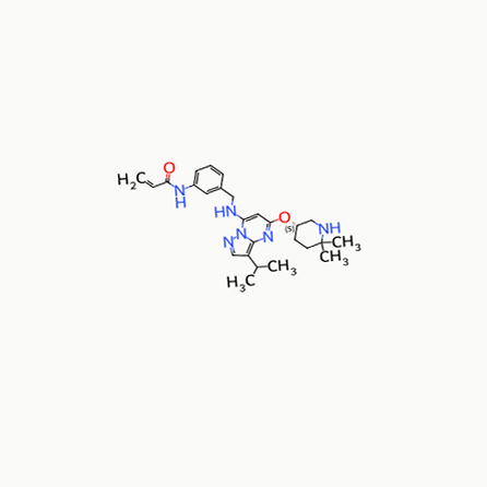 C=CC(=O)Nc1cccc(CNc2cc(O[C@H]3CCC(C)(C)NC3)nc3c(C(C)C)cnn23)c1